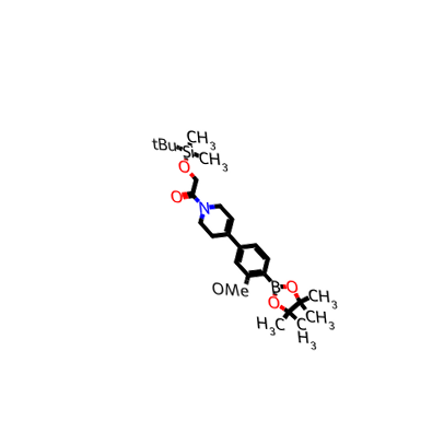 COc1cc(C2=CCN(C(=O)CO[Si](C)(C)C(C)(C)C)CC2)ccc1B1OC(C)(C)C(C)(C)O1